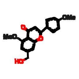 COc1ccc(-c2cc(=O)c3c(OC)cc(CO)cc3o2)cc1